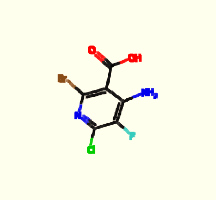 Nc1c(F)c(Cl)nc(Br)c1C(=O)O